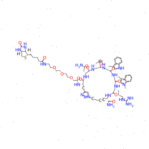 CC(C)C[C@H]1NC(=O)[C@@H](CC(N)=O)NC(=O)[C@@H](NC(=O)COCCOCCOCCNC(=O)CCCC[C@H]2SC[C@H]3NC(=O)N[C@H]32)Cc2cn(nn2)CCCC[C@@H](C(N)=O)NC(=O)[C@@H](CCCNC(=N)N)NC(=O)[C@@H](Cc2cn(C)c3ccccc23)NC(=O)[C@@H](Cc2c[nH]c3ccccc23)NC1=O